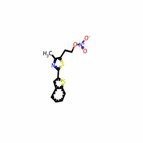 Cc1nc(-c2cc3ccccc3s2)sc1CCO[N+](=O)[O-]